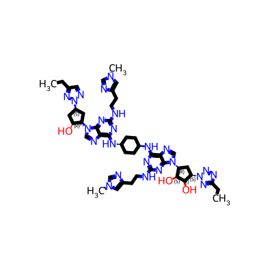 CCc1cnn([C@@H]2C[C@@H](O)[C@H](n3cnc4c(N[C@H]5CC[C@H](Nc6nc(NCCc7cn(C)cn7)nc7c6ncn7[C@@H]6C[C@H](n7nnc(CC)n7)[C@@H](O)[C@H]6O)CC5)nc(NCCc5cn(C)cn5)nc43)C2)n1